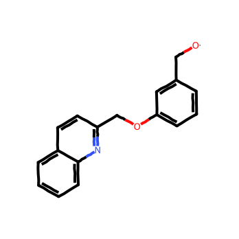 [O]Cc1cccc(OCc2ccc3ccccc3n2)c1